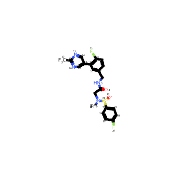 CC(C)N(CC(=O)NCc1ccc(F)c(-c2cnc(C(F)(F)F)nc2)c1)[S+]([O-])c1ccc(F)cc1